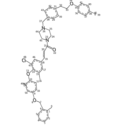 Cc1ccccc1COc1ccc(Oc2c(C)cc(/C=C/C(=O)N3CCN(Cc4ccc(CCOc5ccc(F)cc5)cc4)CC3)cc2Cl)nc1